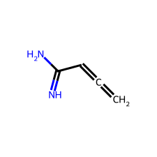 C=C=CC(=N)N